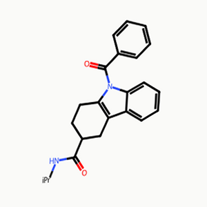 CC(C)NC(=O)C1CCc2c(c3ccccc3n2C(=O)c2ccccc2)C1